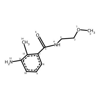 COCCNC(=O)c1cccc(N)c1C